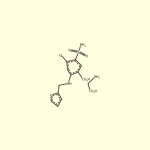 NCC(=O)O.NS(=O)(=O)c1cc(C(=O)O)c(NCc2ccco2)cc1Cl